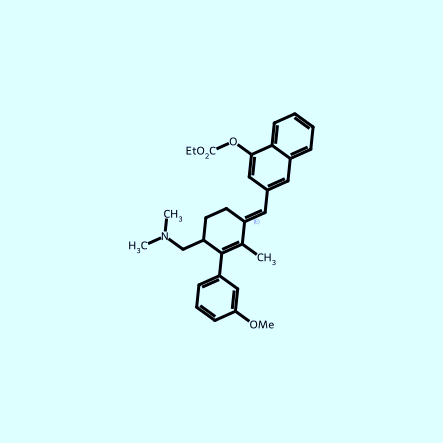 CCOC(=O)Oc1cc(/C=C2\CCC(CN(C)C)C(c3cccc(OC)c3)=C2C)cc2ccccc12